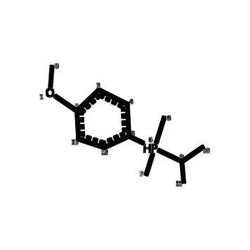 COc1ccc([PH](C)(C)C(C)C)cc1